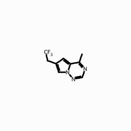 Cc1ncnn2cc(CC(F)(F)F)cc12